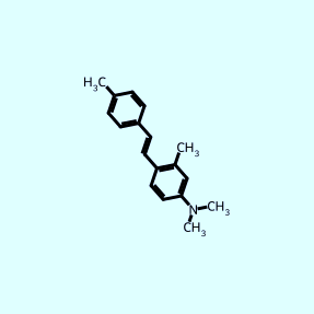 Cc1ccc(C=Cc2ccc(N(C)C)cc2C)cc1